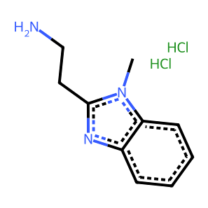 Cl.Cl.Cn1c(CCN)nc2ccccc21